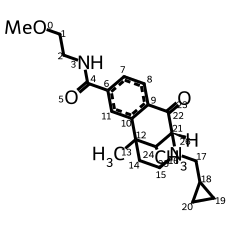 COCCNC(=O)c1ccc2c(c1)C1(C)CCN(CC3CC3)[C@@H](C2=O)C1C